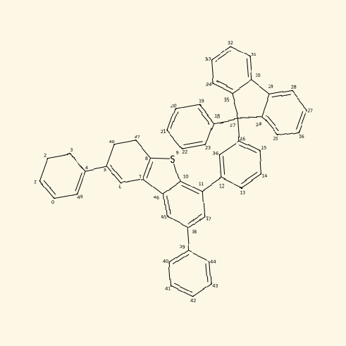 C1=CCCC(C2=Cc3c(sc4c(-c5cccc(C6(c7ccccc7)c7ccccc7-c7ccccc76)c5)cc(-c5ccccc5)cc34)CC2)=C1